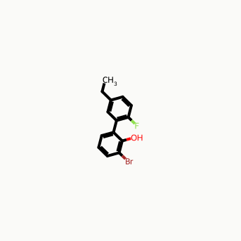 CCc1ccc(F)c(-c2cccc(Br)c2O)c1